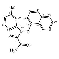 NC(=O)c1cc2ccc(Br)cc2n1Cc1cccc2ccccc12